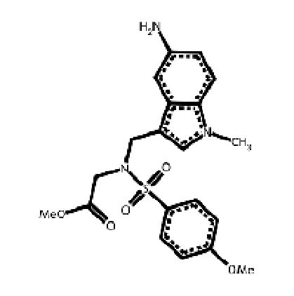 COC(=O)CN(Cc1cn(C)c2ccc(N)cc12)S(=O)(=O)c1ccc(OC)cc1